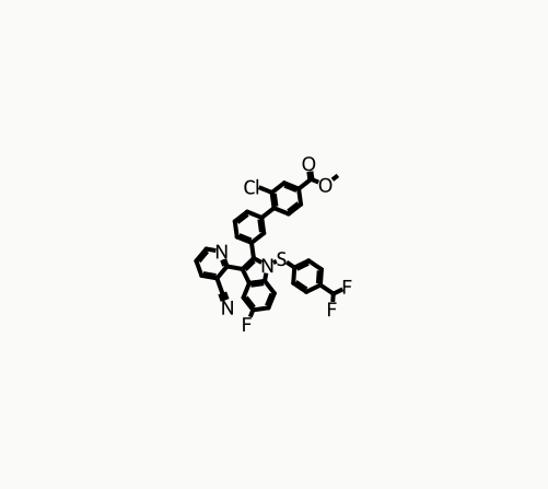 COC(=O)c1ccc(-c2cccc(-c3c(-c4ncccc4C#N)c4cc(F)ccc4n3Sc3ccc(C(F)F)cc3)c2)c(Cl)c1